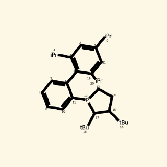 CC(C)c1cc(C(C)C)c(-c2ccccc2P2CCC(C(C)(C)C)C2C(C)(C)C)c(C(C)C)c1